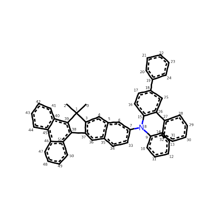 CC1(C)c2cc3cc(N(c4ccccc4)c4ccc(-c5ccccc5)cc4-c4ccccc4)ccc3cc2-c2c1c1ccccc1c1ccccc21